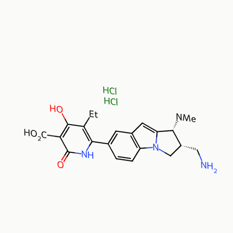 CCc1c(-c2ccc3c(c2)cc2n3C[C@@H](CN)[C@H]2NC)[nH]c(=O)c(C(=O)O)c1O.Cl.Cl